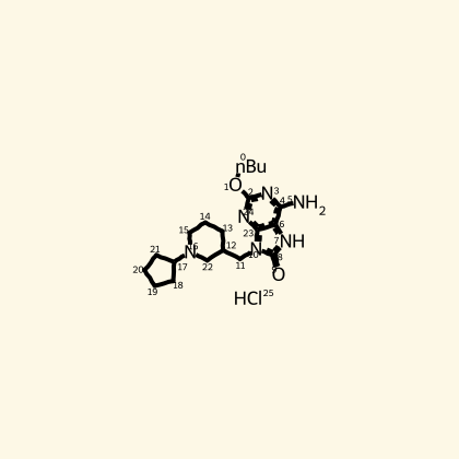 CCCCOc1nc(N)c2[nH]c(=O)n(CC3CCCN(C4CCCC4)C3)c2n1.Cl